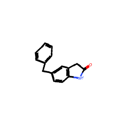 O=C1Cc2cc(Cc3ccccc3)ccc2N1